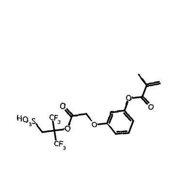 C=C(C)C(=O)Oc1cccc(OCC(=O)OC(CS(=O)(=O)O)(C(F)(F)F)C(F)(F)F)c1